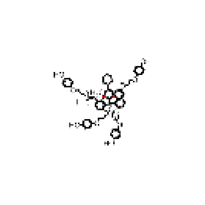 C=Cc1c(/C=C(\C)OCCOc2ccc(O)cc2)ccc(OCCOc2ccc(O)cc2)c1C(C)(c1ccc(C2CCCCC2)cc1)c1c(OCCOc2ccc(O)cc2)ccc2cc(OCCOc3ccc(O)cc3)ccc12